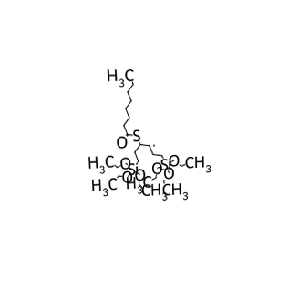 CCCCCCCC(=O)SC([CH]CC[Si](OCC)(OCC)OCC)CC[Si](OCC)(OCC)OCC